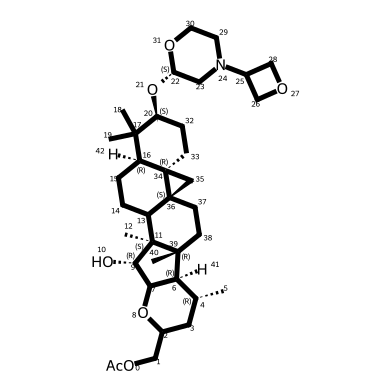 CC(=O)OCC1C[C@@H](C)[C@H]2C(O1)[C@H](O)[C@@]1(C)C3CC[C@H]4C(C)(C)[C@@H](O[C@H]5CN(C6COC6)CCO5)CC[C@@]45C[C@@]35CC[C@]21C